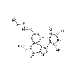 CCNC(=O)c1noc(-c2cc(Cl)c(O)cc2O)c1-c1ccc(CNCCO)cc1